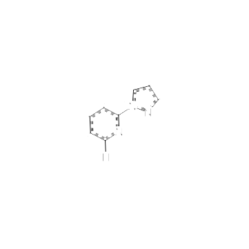 [3H]c1cccc(-n2cccn2)n1